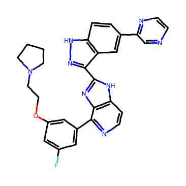 Fc1cc(OCCN2CCCC2)cc(-c2nccc3[nH]c(-c4n[nH]c5ccc(-c6cnccn6)cc45)nc23)c1